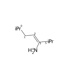 CC(C)C/C=C(\N)C(C)C